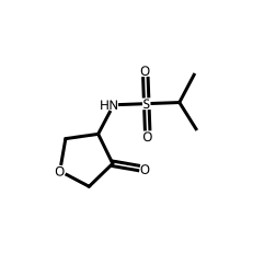 CC(C)S(=O)(=O)NC1COCC1=O